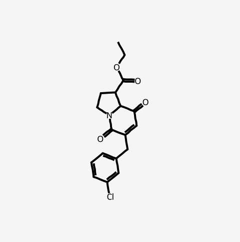 CCOC(=O)C1CCN2C(=O)C(Cc3cccc(Cl)c3)=CC(=O)C12